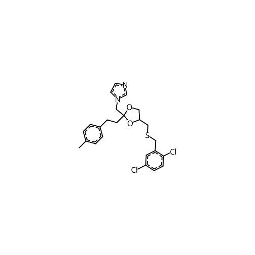 Cc1ccc(CCC2(Cn3ccnc3)OCC(CSCc3cc(Cl)ccc3Cl)O2)cc1